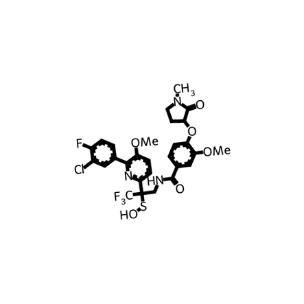 COc1cc(C(=O)NCC(SO)(c2ccc(OC)c(-c3ccc(F)c(Cl)c3)n2)C(F)(F)F)ccc1OC1CCN(C)C1=O